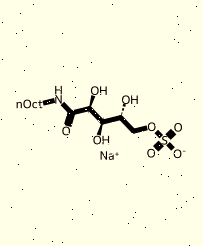 CCCCCCCCNC(=O)[C@@H](O)[C@H](O)[C@H](O)COS(=O)(=O)[O-].[Na+]